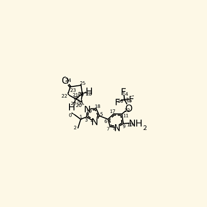 CC(C)c1nc(-c2cnc(N)c(OC(F)(F)F)c2)cn1[C@@H]1[C@@H]2CC(=O)C[C@@H]21